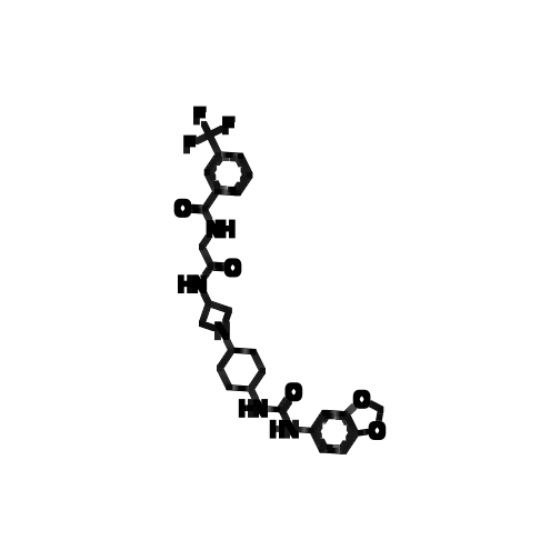 O=C(CNC(=O)c1cccc(C(F)(F)F)c1)NC1CN(C2CCC(NC(=O)Nc3ccc4c(c3)OCO4)CC2)C1